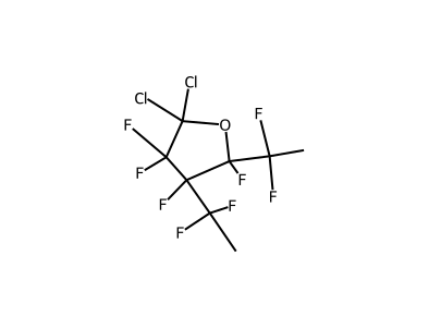 CC(F)(F)C1(F)OC(Cl)(Cl)C(F)(F)C1(F)C(C)(F)F